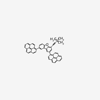 C[Si](C)(C)C#Cc1cc(-c2ccc3ccc4cccc5ccc2c3c45)cc2c1oc1ccc(-c3ccc4ccc5cccc6ccc3c4c56)cc12